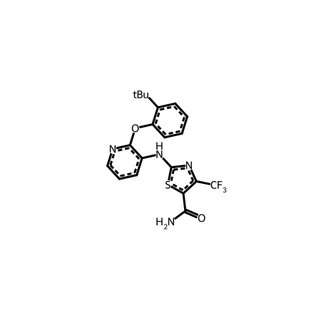 CC(C)(C)c1ccccc1Oc1ncccc1Nc1nc(C(F)(F)F)c(C(N)=O)s1